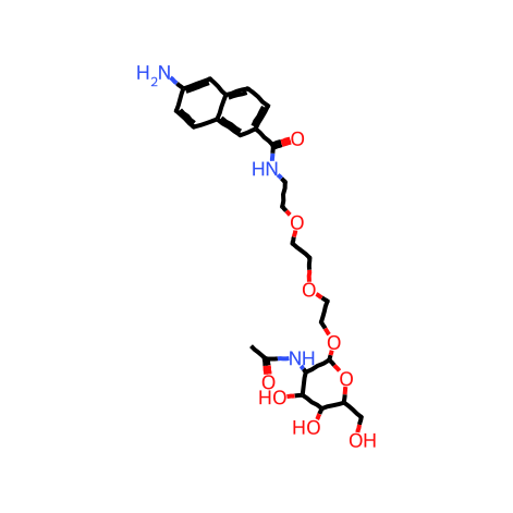 CC(=O)NC1C(OCCOCCOCCNC(=O)c2ccc3cc(N)ccc3c2)OC(CO)C(O)C1O